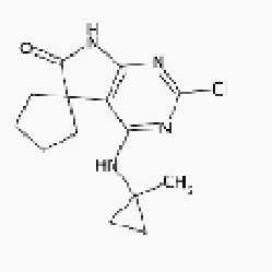 CC1(Nc2nc(Cl)nc3c2C2(CCCC2)C(=O)N3)CC1